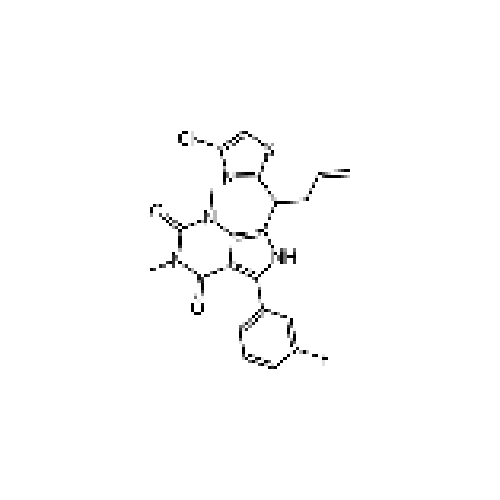 C=CCC(c1nc(Cl)cs1)c1[nH]c(-c2cccc(F)c2)c2c(=O)n(C)c(=O)n(C)c12